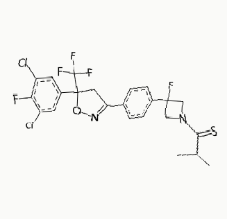 CC(C)C(=S)N1CC(F)(c2ccc(C3=NOC(c4cc(Cl)c(F)c(Cl)c4)(C(F)(F)F)C3)cc2)C1